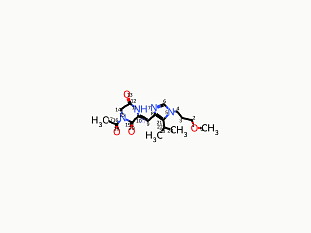 COCCCn1cnc(/C=C2\NC(=O)CN(C(C)=O)C2=O)c1C(C)C